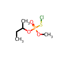 CCC(C)OP(=O)(OC)SCl